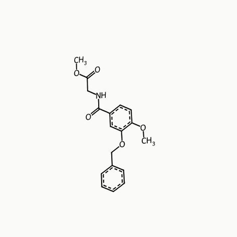 COC(=O)CNC(=O)c1ccc(OC)c(OCc2ccccc2)c1